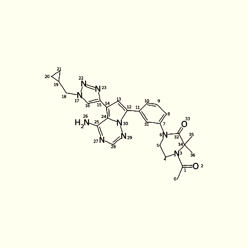 CC(=O)N1CCN(c2cccc(-c3cc(-c4cn(CC5CC5)nn4)c4c(N)ncnn34)c2)C(=O)C1(C)C